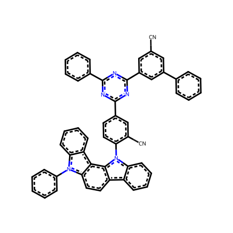 N#Cc1cc(-c2ccccc2)cc(-c2nc(-c3ccccc3)nc(-c3ccc(-n4c5ccccc5c5ccc6c(c7ccccc7n6-c6ccccc6)c54)c(C#N)c3)n2)c1